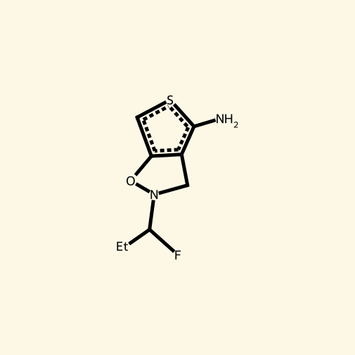 [CH2]CC(F)N1Cc2c(csc2N)O1